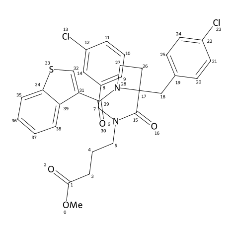 COC(=O)CCCN(Cc1cccc(Cl)c1)C(=O)C1(Cc2ccc(Cl)cc2)CCN1C(=O)c1csc2ccccc12